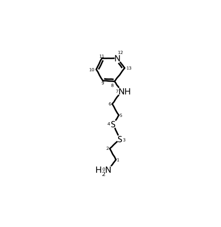 NCCSSCCNc1cccnc1